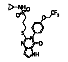 O=c1c2[nH]ccc2nc(SCCCS(=O)(=O)NC2CC2)n1-c1ccc(OCC(F)(F)F)cc1